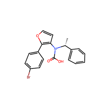 C[C@H](c1ccccc1)N(C(=O)O)c1ccoc1-c1ccc(Br)cc1